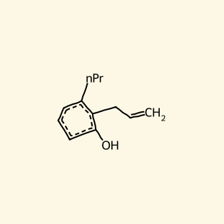 C=CCc1c(O)cccc1CCC